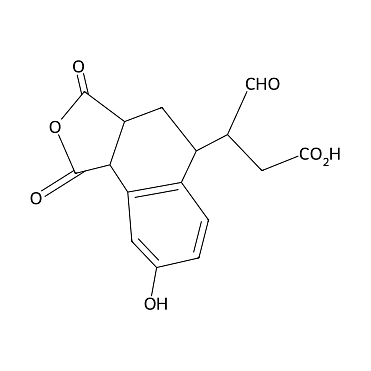 O=CC(CC(=O)O)C1CC2C(=O)OC(=O)C2c2cc(O)ccc21